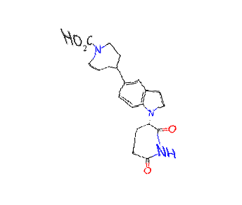 O=C1CC[C@H](N2CCc3cc(C4CCN(C(=O)O)CC4)ccc32)C(=O)N1